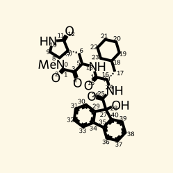 CNC(=O)C(=O)C(C[C@@H]1CCNC1=O)NC(=O)[C@H](CC1CCCCC1)NC(=O)C1(O)c2ccccc2-c2ccccc21